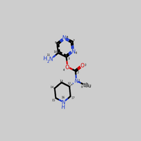 CC(C)(C)N(C(=O)Oc1ncncc1N)[C@H]1CCCNC1